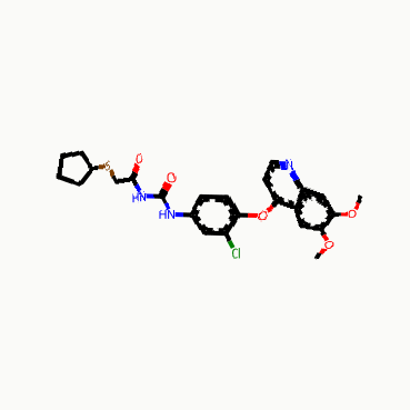 COc1cc2nccc(Oc3ccc(NC(=O)NC(=O)CSC4CCCC4)cc3Cl)c2cc1OC